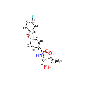 COC(=O)[C@H](CO)NC(=O)c1ccc(Oc2ccc(F)cc2)cc1